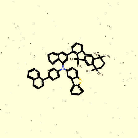 CC1(C)CCC(C)(C)c2cc3c(cc21)-c1cccc(-c2cc(N(c4ccc(-c5cccc6ccccc56)cc4)c4ccc5sc6ccccc6c5c4)c4ccccc4c2)c1C3(C)C